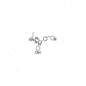 CCC[C@H](C)Nc1ncc2c(-c3ccc(CC4CCN(C)CC4)cc3)cn(C3CCC(O)CC3)c2n1